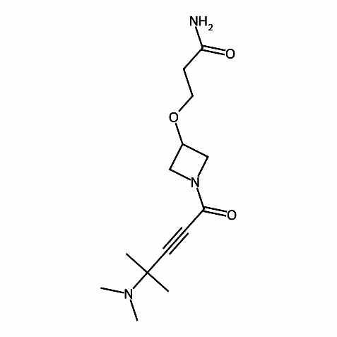 CN(C)C(C)(C)C#CC(=O)N1CC(OCCC(N)=O)C1